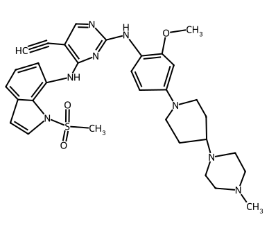 C#Cc1cnc(Nc2ccc(N3CCC(N4CCN(C)CC4)CC3)cc2OC)nc1Nc1cccc2ccn(S(C)(=O)=O)c12